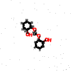 Oc1ccccc1[O][Ti][O]c1ccccc1O